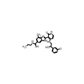 CCCNC(=N)c1cc(C)c2nc(-c3c(NCC(O)c4cccc(Cl)c4)cc[nH]c3=O)[nH]c2c1